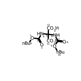 CCCCOC(=O)NC(NC(=O)OCCCC)(C(=O)O)C(=O)O